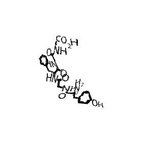 N[C@@H](Cc1ccc(O)cc1)C(=O)NCC(=O)N[C@@H](Cc1ccccc1)C(=O)NCC(=O)NCC(=O)O